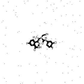 CC(C)CN(C(=O)Nc1ccc(F)c(Cl)c1)[C@H](C)c1n[nH]c(=O)c2cc(F)ccc12